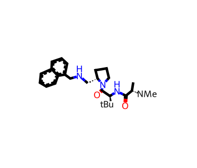 CN[C@@H](C)C(=O)N[C@H](C(=O)N1CCC[C@H]1CNCc1cccc2ccccc12)C(C)(C)C